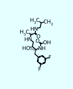 CC(C)CNC(=O)[C@H](C)NC[C@H](O)[C@H](Cc1cc(F)cc(F)c1)NC(=O)O